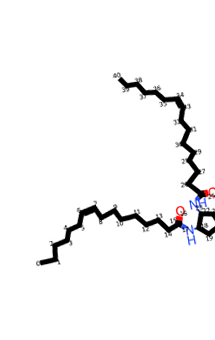 CCCCCC/C=C\CCCCCCCC(=O)N[C@H]1CCC[C@H]1NC(=O)CCCCCCC/C=C\CCCCCC